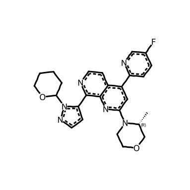 C[C@@H]1COCCN1c1cc(-c2ccc(F)cn2)c2ccnc(-c3ccnn3C3CCCCO3)c2n1